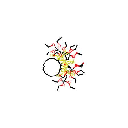 CCO[Si](CS(S)(SS)C1(S(S)(C[Si](OCC)(OCC)OCC)SS)CCCCCCCCCC(S(S)(C[Si](OCC)(OCC)OCC)SS)(S(S)(C[Si](OCC)(OCC)OCC)SS)C1(S(S)(C[Si](OCC)(OCC)OCC)SS)S(S)(C[Si](OCC)(OCC)OCC)SS)(OCC)OCC